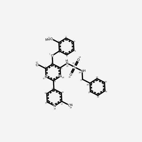 COc1ccccc1Oc1c(Cl)nc(-c2ccnc(C#N)c2)nc1NS(=O)(=O)NCc1ccccc1